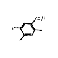 Cc1cc(C)c(C(C)C)cc1C(=O)O